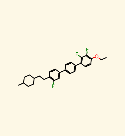 CCOc1ccc(-c2ccc(-c3ccc(CCC4CCC(C)CC4)c(F)c3)cc2)c(F)c1F